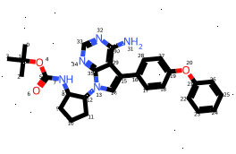 CC(C)(C)OC(=O)NC1CCCC1n1cc(-c2ccc(Oc3ccccc3)cc2)c2c(N)ncnc21